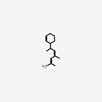 C/C(P)=C\C(I)=C/C(C)C1C=CCCC1